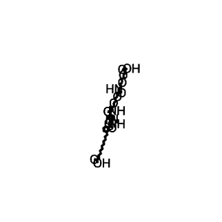 O=C(O)CCCCCCCCCCCc1cccc(S(=O)(=O)Nc2ncc(C(=O)NCCOCCOCC(=O)NCCOCCOCC(=O)O)cn2)c1